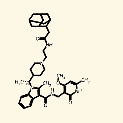 COc1cc(C)[nH]c(=O)c1CNC(=O)c1c(C)n([C@H](C)C2CCN(CCNC(=O)CC3C4CC5CC(C4)CC3C5)CC2)c2ccccc12